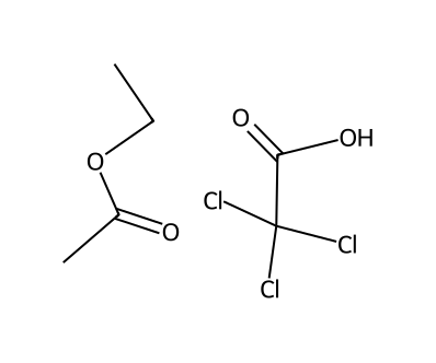 CCOC(C)=O.O=C(O)C(Cl)(Cl)Cl